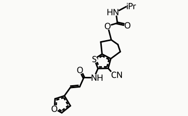 CC(C)NC(=O)OC1CCc2c(sc(NC(=O)C=Cc3ccoc3)c2C#N)C1